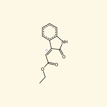 CCOC(=O)/C=C1\C(=O)Nc2ccccc21